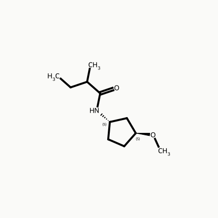 CCC(C)C(=O)N[C@H]1CC[C@H](OC)C1